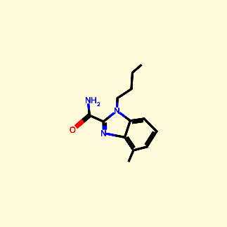 CCCCn1c(C(N)=O)nc2c(C)cccc21